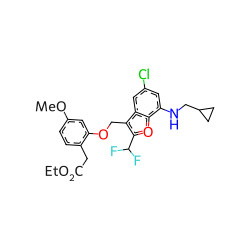 CCOC(=O)Cc1ccc(OC)cc1OCc1c(C(F)F)oc2c(NCC3CC3)cc(Cl)cc12